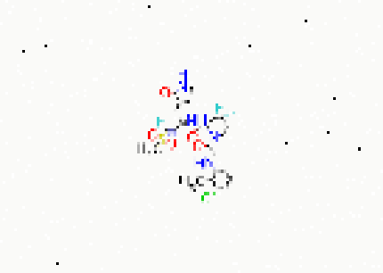 Cc1c(Cl)cccc1NCC(=O)N1CCC(F)(F)C[C@H]1C(=O)N[C@H](/C=C(\F)S(C)(=O)=O)C[C@@H]1CCNC1=O